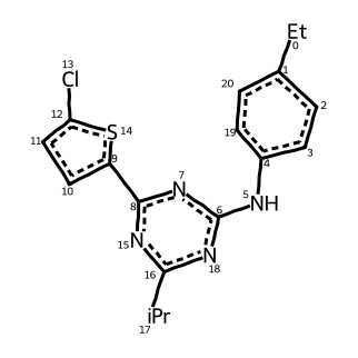 CCc1ccc(Nc2nc(-c3ccc(Cl)s3)nc(C(C)C)n2)cc1